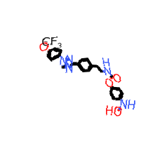 O=C(NCCc1ccc(-c2ncn(-c3ccc(OC(F)(F)F)cc3)n2)cc1)Oc1ccc(NO)cc1